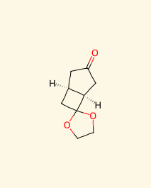 O=C1C[C@@H]2CC3(OCCO3)[C@@H]2C1